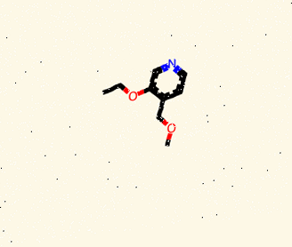 CCOc1[c]nccc1COC